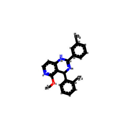 CC(C)Oc1nccc2c1C(c1ccccc1C(F)(F)F)N=C(c1cccc([N+](=O)[O-])c1)N2